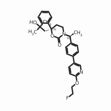 C[C@@H](c1ccc(-c2ccc(OCCF)nc2)cc1)N1CC[C@](CC(C)(C)O)(c2ccccc2)OC1=O